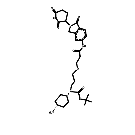 CC(C)(C)OC(=O)N(CCCOCCC(=O)Nc1ccc2c(c1)CN(C1CCC(=O)NC1=O)C2=O)[C@H]1CC[C@@H](N)CC1